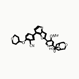 COc1cc(C(=O)N2C3COCC2CC(O)C3)ncc1-c1cc2nccc(-c3ccc(OC4CCOCC4)c(C#N)c3)c2o1